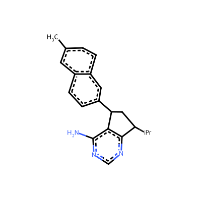 Cc1ccc2cc(C3CC(C(C)C)c4ncnc(N)c43)ccc2c1